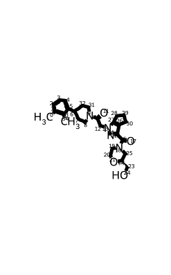 Cc1cccc(C2CCN(C(=O)Cn3nc(C(=O)N4CCO[C@H](CO)C4)c4c3CCC4)CC2)c1C